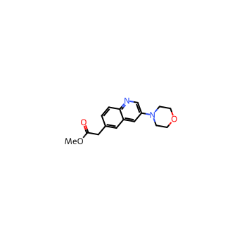 COC(=O)Cc1ccc2ncc(N3CCOCC3)cc2c1